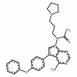 CC(=O)N(CCCN1CCCC1)n1cc(-c2ccc(Oc3ccccc3)cc2)c2c(N)ncnc21